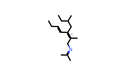 CCC=C/C(CC(C)CC)=C(/C)CN=C(C)C